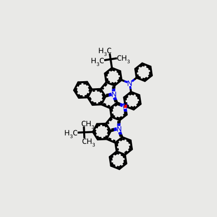 CC(C)(C)c1cc(N(c2ccccc2)c2ccccc2)c2c(c1)c1c3ccccc3cc3c4c5c6cc(C(C)(C)C)cc7c8c9ccccc9ccc8n(c5cnc4n2c31)c76